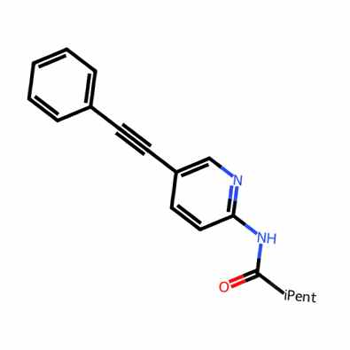 CCCC(C)C(=O)Nc1ccc(C#Cc2ccccc2)cn1